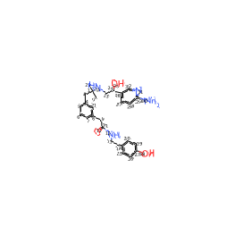 CC(C)(Cc1cccc(CC(=O)NCc2ccc(O)cc2)c1)NC[C@@H](O)c1ccc(N)nc1